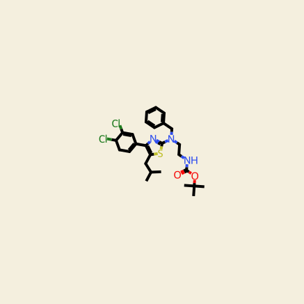 CC(C)Cc1sc(N(CCNC(=O)OC(C)(C)C)Cc2ccccc2)nc1C1=CCC(Cl)C(Cl)=C1